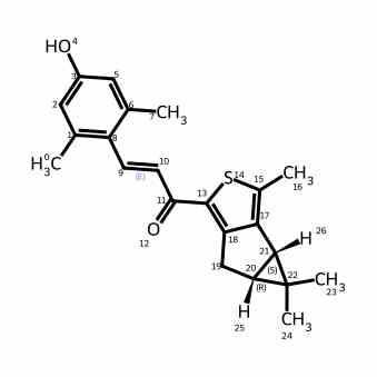 Cc1cc(O)cc(C)c1/C=C/C(=O)c1sc(C)c2c1C[C@@H]1[C@H]2C1(C)C